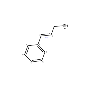 SC/C=C/c1ccccc1